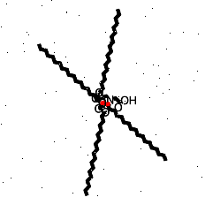 CCCCCCCCCCCCCCCCCCOP(=O)(CN(CC(=O)O)CP(=O)(OCCCCCCCCCCCCCCCCCC)OCCCCCCCCCCCCCCCCCC)OCCCCCCCCCCCCCCCCCC